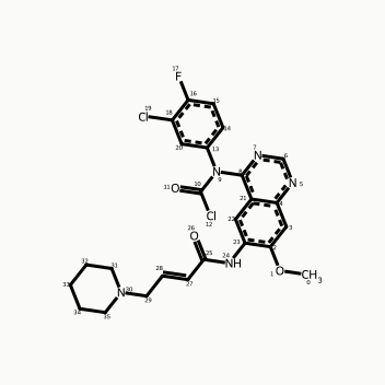 COc1cc2ncnc(N(C(=O)Cl)c3ccc(F)c(Cl)c3)c2cc1NC(=O)/C=C/CN1CCCCC1